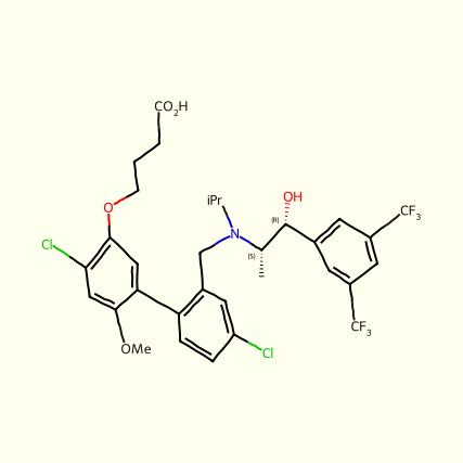 COc1cc(Cl)c(OCCCC(=O)O)cc1-c1ccc(Cl)cc1CN(C(C)C)[C@@H](C)[C@H](O)c1cc(C(F)(F)F)cc(C(F)(F)F)c1